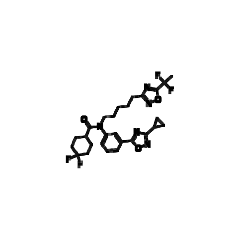 CC(F)(F)c1nc(CCCCCN(C(=O)C2CCC(F)(F)CC2)c2cccc(-c3nc(C4CC4)no3)c2)no1